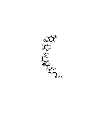 COCC1CCC(CC(=O)NC2CCC(CCN3CCC(C(=O)c4ccc(F)cc4)CC3)CC2)CC1